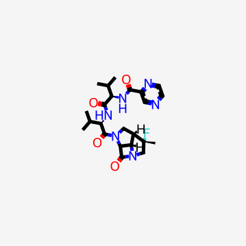 CC(C)[C@H](NC(=O)[C@H](NC(=O)c1cnccn1)C(C)C)C(=O)N1C[C@H]2[C@H]3C1C(=O)N3C[C@@]2(C)F